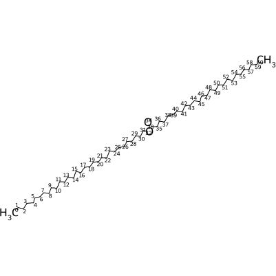 CCCCCCCCCCCCCCCCCCCCCCCCCCCCCCCCOC(=O)CCCCCCCCCCCCCCCCCCCCCCCCCC